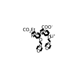 CCOC(=O)c1cnc2cc(OCCN3CCOCC3)ccn12.O=C([O-])c1cnc2cc(OCCN3CCOCC3)ccn12.[Li+]